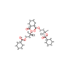 CCC(C)(CCOC(=O)C1CCCCC1C(=O)OC(C)(CC)CCOC(=O)C1CCCCC1)OC(=O)C1CCCCC1